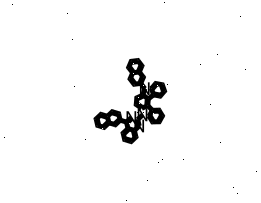 c1ccc2cc(-c3nc(-n4c5ccccc5c5c6c7ccccc7n(-c7ccc8ccccc8c7)c6ccc54)nc4ccccc34)ccc2c1